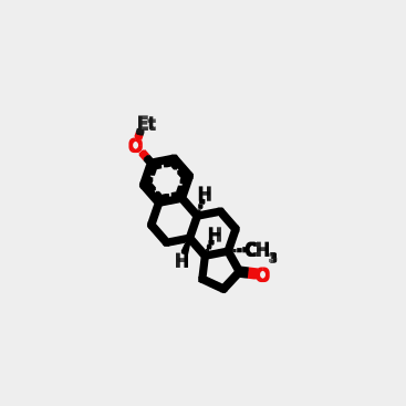 CCOc1ccc2c(c1)CC[C@@H]1[C@@H]2CC[C@@]2(C)C(=O)CC[C@@H]12